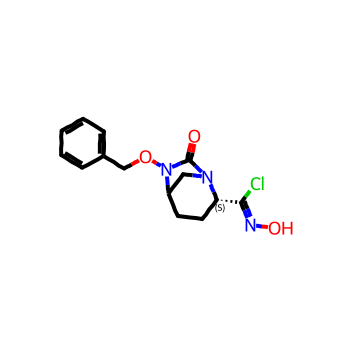 O=C1N(OCc2ccccc2)C2CC[C@@H](C(Cl)=NO)N1C2